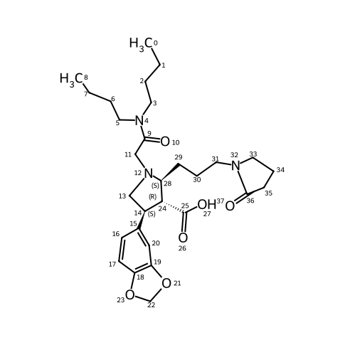 CCCCN(CCCC)C(=O)CN1C[C@H](c2ccc3c(c2)OCO3)[C@@H](C(=O)O)[C@@H]1CCCN1CCCC1=O